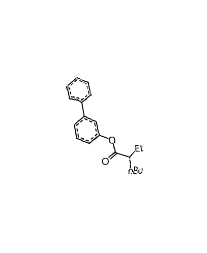 CCCCC(CC)C(=O)Oc1cccc(-c2ccccc2)c1